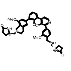 COc1cc(-c2nccc(-c3cccc(-c4cc5c(c(OC)c4)CN(C[C@H]4CCC(=O)N4)CC5)c3Cl)c2Cl)ccc1CNC[C@@H]1CCC(=O)N1